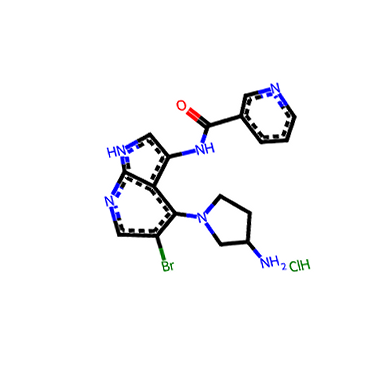 Cl.NC1CCN(c2c(Br)cnc3[nH]cc(NC(=O)c4cccnc4)c23)C1